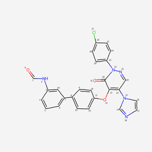 O=CNc1cccc(-c2ccc(Oc3c(-n4ccnc4)cnn(-c4ccc(Cl)cc4)c3=O)cc2)c1